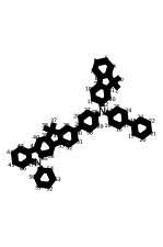 CC1(C)c2ccccc2-c2ccc(N(c3ccc(-c4ccccc4)cc3)c3ccc(-c4ccc5c(c4)C(C)(C)c4cc6c7ccccc7n(-c7ccccc7)c6cc4-5)cc3)cc21